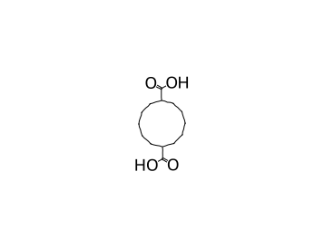 O=C(O)C1CCCCCC(C(=O)O)CCCCC1